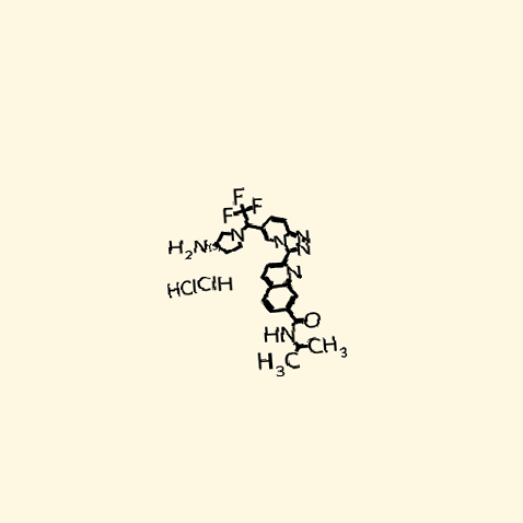 CC(C)NC(=O)c1ccc2ccc(-c3nnc4ccc(C(N5CC[C@H](N)C5)C(F)(F)F)cn34)nc2c1.Cl.Cl